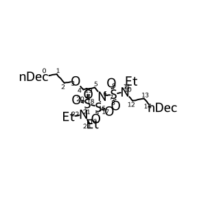 CCCCCCCCCCCCOCCN(S(=O)(=O)N(CC)CCCCCCCCCCCC)S(=O)(=O)S(=O)(=O)N(CC)CC